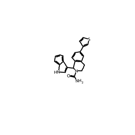 NC(=O)N1CCc2cc(-c3ccsc3)ccc2C1c1c[nH]c2ccccc12